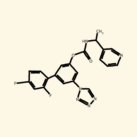 CC(NC(=O)Oc1cc(-c2ccc(F)cc2F)cc(-n2cnnn2)c1)c1cccnc1